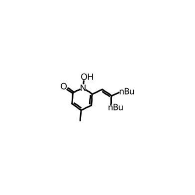 CCCCC(=Cc1cc(C)cc(=O)n1O)CCCC